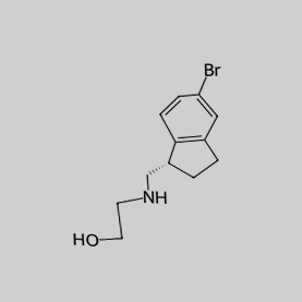 OCCNC[C@H]1CCc2cc(Br)ccc21